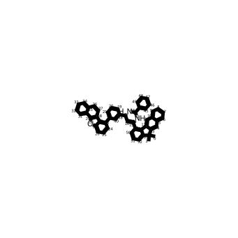 CC1(C)c2cc3ccccc3cc2-c2c(/C(=C/Cc3cccc(-c4cccc5oc6c7ccccc7ccc6c45)c3)NC(N)c3ccccc3)cccc21